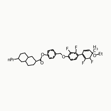 CCCC1CCC2CC(C(=O)Oc3ccc(COc4ccc(C5=C(F)C(F)C(C)(OCC)C=C5)c(F)c4F)cc3)CCC2C1